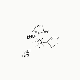 C[C](C)(C)[Ti]([CH3])([CH3])([CH3])([CH3])([CH3])([C]1=CC=CC1)[c]1ccc[nH]1.Cl.Cl